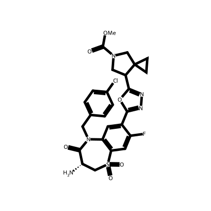 COC(=O)N1CC(c2nnc(-c3cc4c(cc3F)S(=O)(=O)C[C@H](N)C(=O)N4Cc3ccc(Cl)cc3)o2)C2(CC2)C1